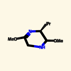 COC1=N[C@@H](C(C)C)C(OC)NC1